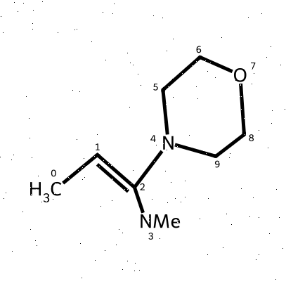 C/C=C(\NC)N1CCOCC1